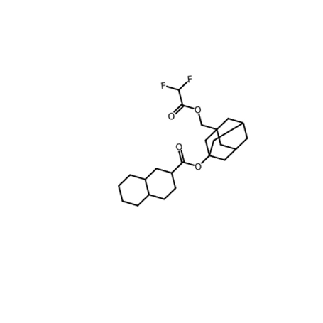 O=C(OCC12CC3CC(C1)CC(OC(=O)C1CCC4CCCCC4C1)(C3)C2)C(F)F